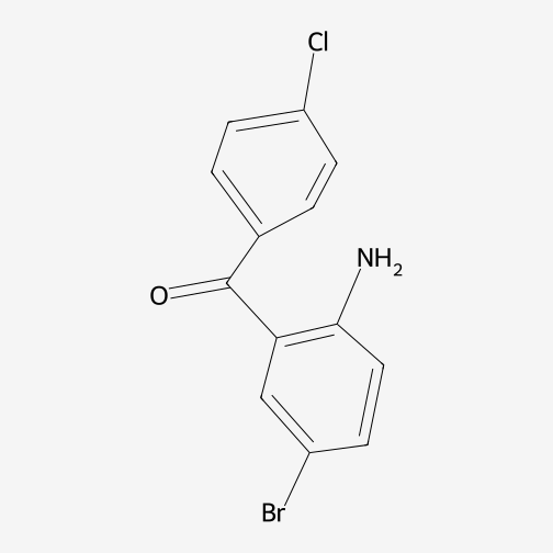 Nc1ccc(Br)cc1C(=O)c1ccc(Cl)cc1